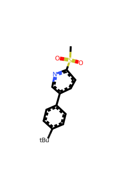 CC(C)(C)c1ccc(-c2ccc(S(C)(=O)=O)nc2)cc1